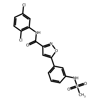 CS(=O)(=O)Nc1cccc(-c2cc(C(=O)Nc3cc(Cl)ccc3Cl)no2)c1